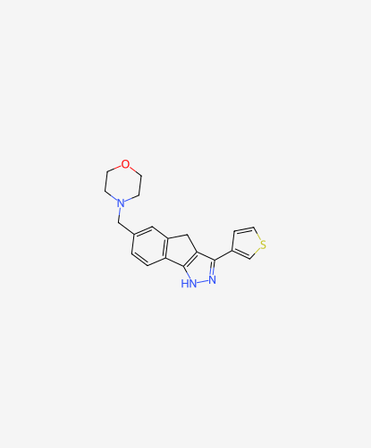 c1cc(-c2n[nH]c3c2Cc2cc(CN4CCOCC4)ccc2-3)cs1